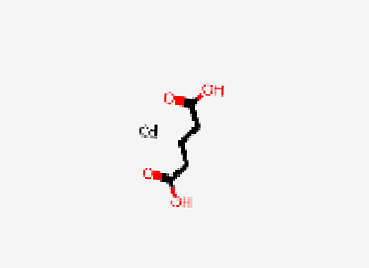 O=C(O)CCCC(=O)O.[Cd]